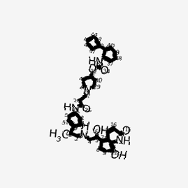 CC(CNCC(O)c1ccc(O)c2[nH]c(=O)ccc12)c1ccc(NC(=O)CCN2CCC(OC(=O)Nc3ccccc3-c3ccccc3)CC2)cc1